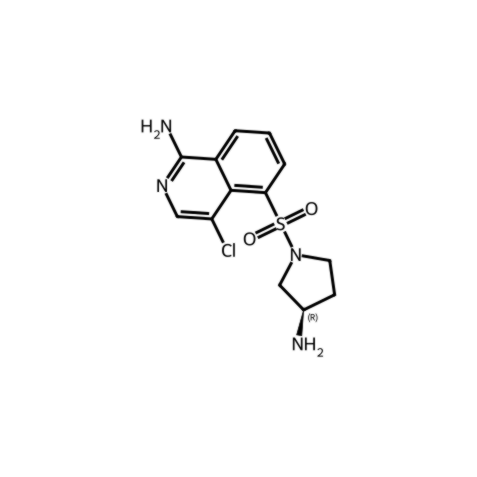 Nc1ncc(Cl)c2c(S(=O)(=O)N3CC[C@@H](N)C3)cccc12